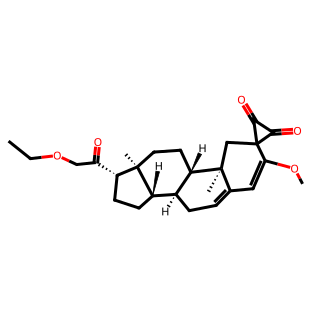 CCOCC(=O)[C@H]1CC[C@H]2[C@@H]3CC=C4C=C(OC)C5(C[C@]4(C)[C@H]3CC[C@]12C)C(=O)C5=O